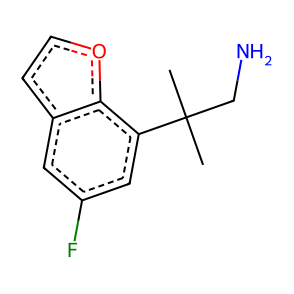 CC(C)(CN)c1cc(F)cc2ccoc12